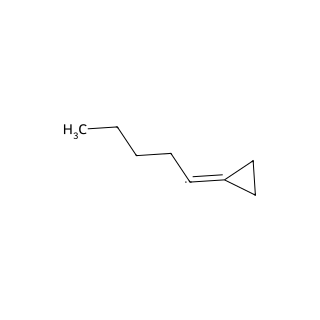 CCCC[C]=C1CC1